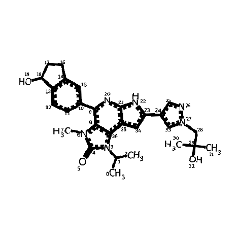 CC(C)n1c(=O)n(C)c2c(-c3ccc4c(c3)CCC4O)nc3[nH]c(-c4cnn(CC(C)(C)O)c4)cc3c21